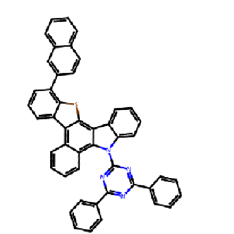 c1ccc(-c2nc(-c3ccccc3)nc(-n3c4ccccc4c4c5sc6c(-c7ccc8ccccc8c7)cccc6c5c5ccccc5c43)n2)cc1